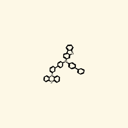 c1ccc(-c2ccc(N(c3ccc(-c4cccc(N5c6ccccc6Sc6ccccc65)c4)cc3)c3ccc4c(c3)sc3ccccc34)cc2)cc1